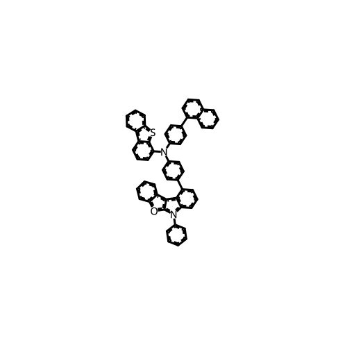 c1ccc(-n2c3cccc(-c4ccc(N(c5ccc(-c6cccc7ccccc67)cc5)c5cccc6c5sc5ccccc56)cc4)c3c3c4ccccc4oc32)cc1